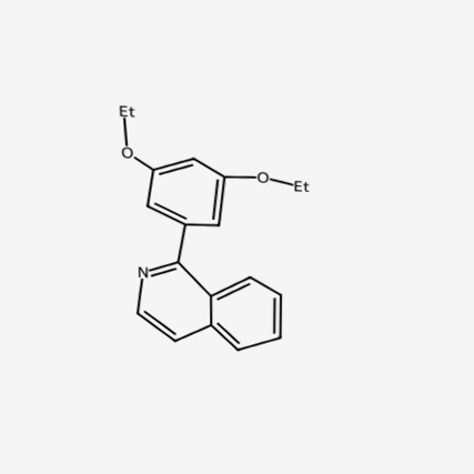 CCOc1cc(OCC)cc(-c2nccc3ccccc23)c1